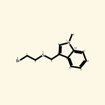 Cn1cc(CSCCBr)c2ccccc21